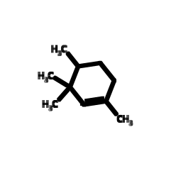 CC1=[C]C(C)(C)C(C)CC1